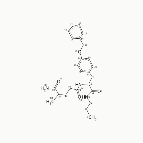 CCCNC(=O)C(Cc1ccc(OCc2ccccc2)cc1)NC(=O)[CH]CC(C)C(N)=O